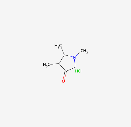 CC1C(=O)CN(C)C1C.Cl